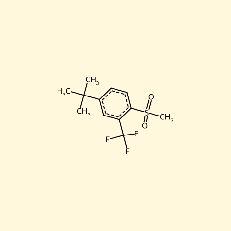 CC(C)(C)c1ccc(S(C)(=O)=O)c(C(F)(F)F)c1